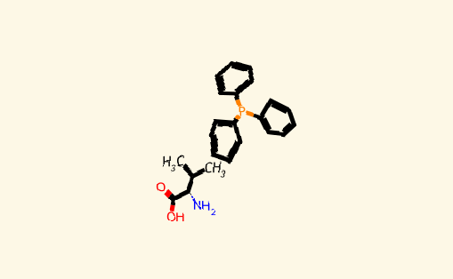 CC(C)[C@H](N)C(=O)O.c1ccc(P(c2ccccc2)c2ccccc2)cc1